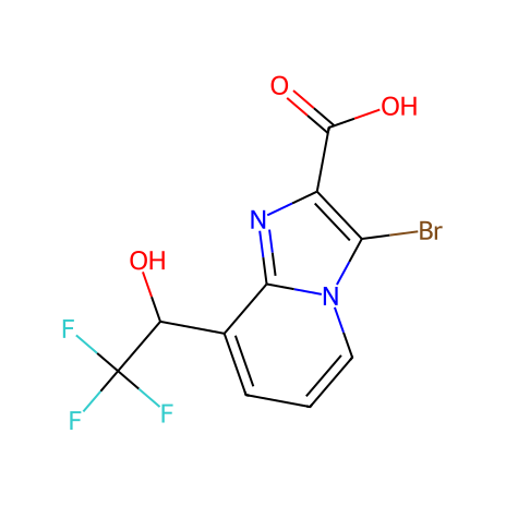 O=C(O)c1nc2c(C(O)C(F)(F)F)cccn2c1Br